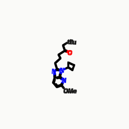 COc1ccc2nc(CCCC(=O)CC(C)(C)C)n(C3CCC3)c2n1